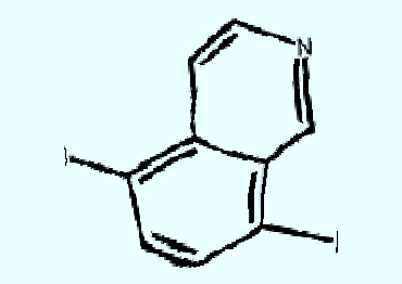 Ic1ccc(I)c2cnccc12